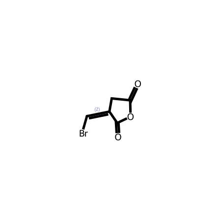 O=C1C/C(=C/Br)C(=O)O1